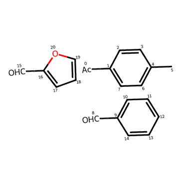 CC(=O)c1ccc(C)cc1.O=Cc1ccccc1.O=Cc1ccco1